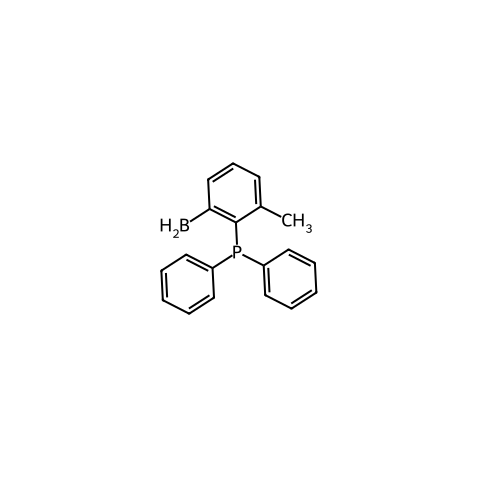 Bc1cccc(C)c1P(c1ccccc1)c1ccccc1